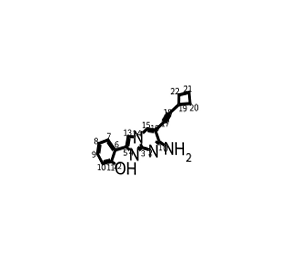 Nc1nc2nc(-c3ccccc3O)cn2cc1C#CC1CCC1